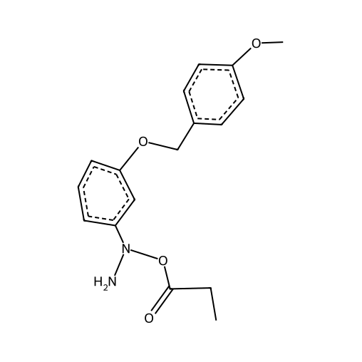 CCC(=O)ON(N)c1cccc(OCc2ccc(OC)cc2)c1